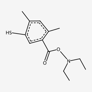 CCN(CC)OC(=O)c1cc(S)c(C)cc1C